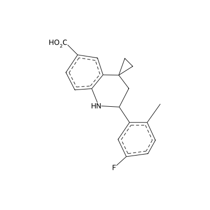 Cc1ccc(F)cc1C1CC2(CC2)c2cc(C(=O)O)ccc2N1